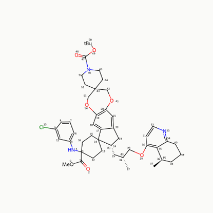 COC(=O)C1(Nc2cccc(Cl)c2)CCC2(CC1)c1cc3c(cc1C[C@@H]2C[C@@H](C)COc1ccnc2c1[C@H](C)CCC2)OCC1(CCN(C(=O)OC(C)(C)C)CC1)CO3